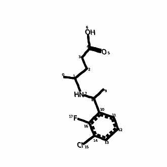 CC(CCC(=O)O)NC(C)c1cccc(Cl)c1F